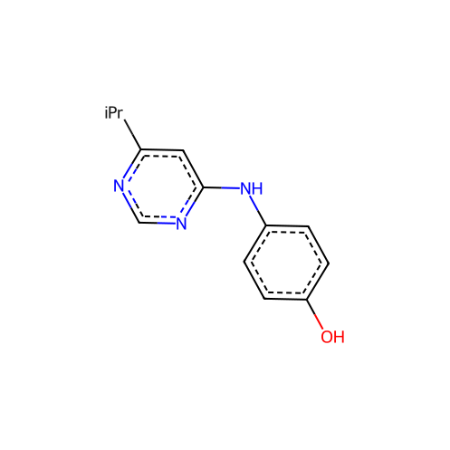 CC(C)c1cc(Nc2ccc(O)cc2)ncn1